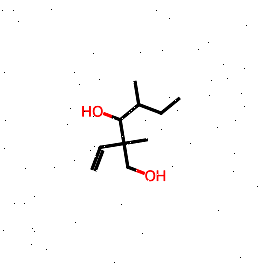 C=CC(C)(CO)C(O)C(C)CC